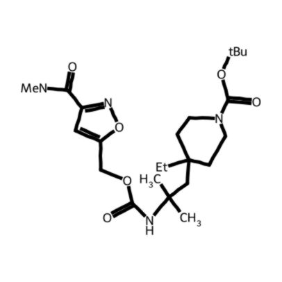 CCC1(CC(C)(C)NC(=O)OCc2cc(C(=O)NC)no2)CCN(C(=O)OC(C)(C)C)CC1